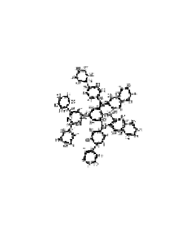 c1ccc(-c2ccc(N3c4cc5ccccc5cc4B4c5cc6ccccc6cc5N(c5ccc(-c6ccccc6)cc5)c5cc(-c6cc(-c7ccccc7)nc(-c7ccccc7)n6)cc3c54)cc2)cc1